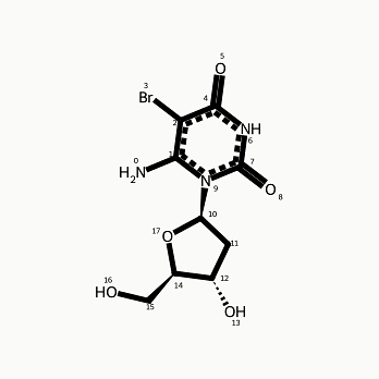 Nc1c(Br)c(=O)[nH]c(=O)n1[C@H]1C[C@H](O)[C@@H](CO)O1